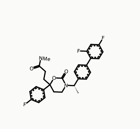 CNC(=O)CCC1(c2ccc(F)cc2)CCN([C@@H](C)c2ccc(-c3ccc(F)cc3F)cc2)C(=O)O1